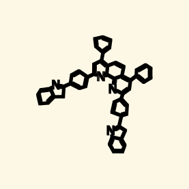 c1ccc(-c2cc(-c3ccc(C4=Nc5ccccc5C4)cc3)nc3c2ccc2c(-c4ccccc4)cc(-c4ccc(C5=Nc6ccccc6C5)cc4)nc23)cc1